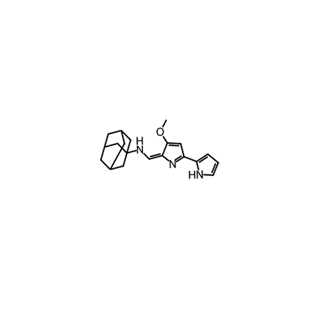 COC1=CC(c2ccc[nH]2)=N/C1=C/NC12CC3CC(CC(C3)C1)C2